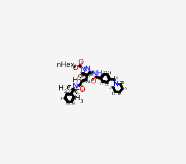 CCCCCCOC(=O)n1nc(NC(=O)c2ccc(CN3CCCCC3)cc2)c2cc(C(=O)NC(C)(C)c3ccccc3)sc21